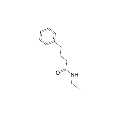 [CH2]CNC(=O)CCCc1ccccc1